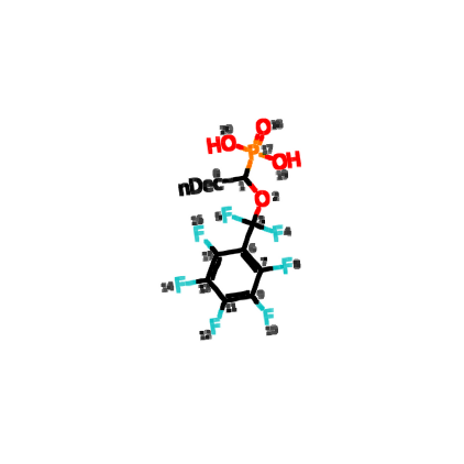 CCCCCCCCCCC(OC(F)(F)c1c(F)c(F)c(F)c(F)c1F)P(=O)(O)O